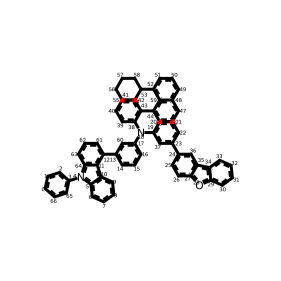 c1ccc(-n2c3ccccc3c3c(-c4cccc(N(c5cccc(-c6ccc7oc8ccccc8c7c6)c5)c5ccccc5-c5cccc6cccc(C7CCCCC7)c56)c4)cccc32)cc1